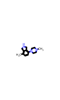 Cc1ccc(N2CCN(C)CC2)c2c1CNC2